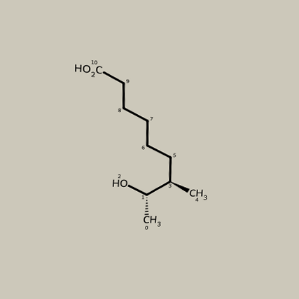 C[C@H](O)[C@H](C)CCCCCC(=O)O